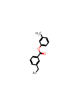 CC(=O)Cc1cccc(C(=O)Oc2cccc(C)c2)c1